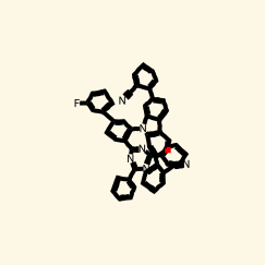 N#Cc1ccccc1-c1ccc2c3ccc(-c4ccccc4C#N)cc3n(-c3cc(-c4cccc(F)c4)ccc3-c3nc(-c4ccccc4)nc(-c4ccccc4)n3)c2c1